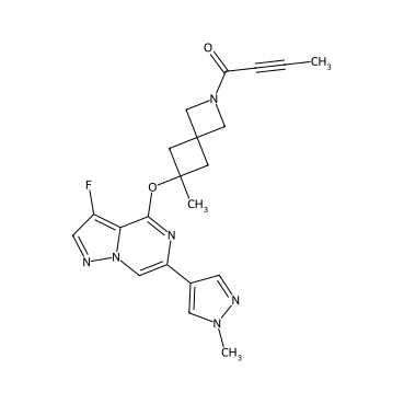 CC#CC(=O)N1CC2(C1)CC(C)(Oc1nc(-c3cnn(C)c3)cn3ncc(F)c13)C2